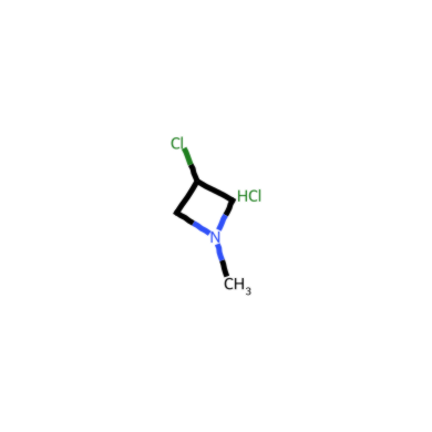 CN1CC(Cl)C1.Cl